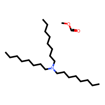 CCCCCCCCN(CCCCCCCC)CCCCCCCC.COC=O